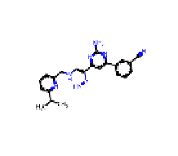 CC(C)c1cccc(CN/C=C(\N=N)c2cc(-c3cccc(C#N)c3)nc(N)n2)n1